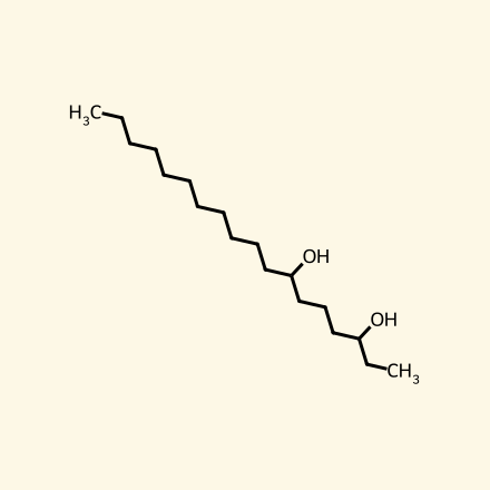 CCCCCCCCCCCC(O)CCCC(O)CC